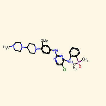 COc1cc(Nc2ncc(Cl)c(Nc3ccccc3P(C)(C)=O)n2)ccc1N1CCC(N2CCN(C)CC2)CC1